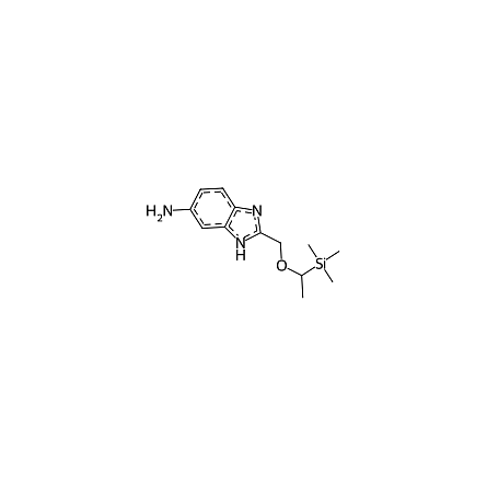 CC(OCc1nc2ccc(N)cc2[nH]1)[Si](C)(C)C